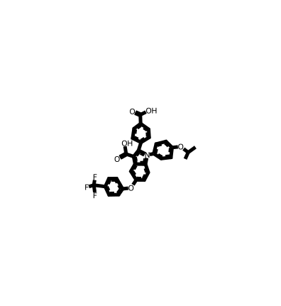 CC(C)Oc1ccc(-n2c(-c3ccc(C(=O)O)cc3)c(C(=O)O)c3cc(Oc4ccc(C(F)(F)F)cc4)ccc32)cc1